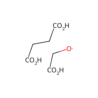 O=C(O)CCC(=O)O.[O]CC(=O)O